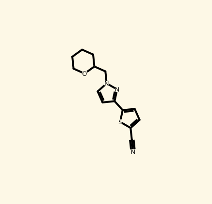 N#Cc1ccc(-c2ccn(CC3CCCCO3)n2)s1